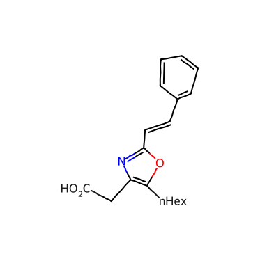 CCCCCCc1oc(C=Cc2ccccc2)nc1CC(=O)O